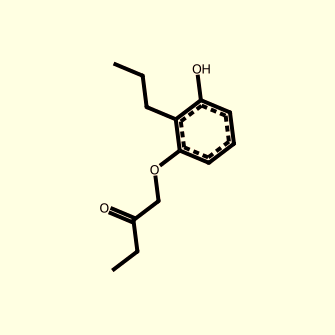 CCCc1c(O)cccc1OCC(=O)CC